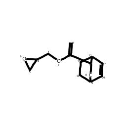 C=C(OCC1CO1)C1CC2C=CC1CC2